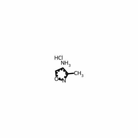 Cc1ccon1.Cl.N